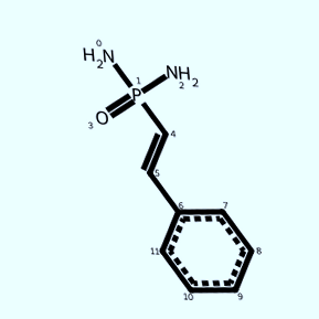 NP(N)(=O)/C=C/c1ccccc1